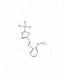 COc1ccccc1C=Cc1nnc(C(Cl)(Cl)Cl)o1